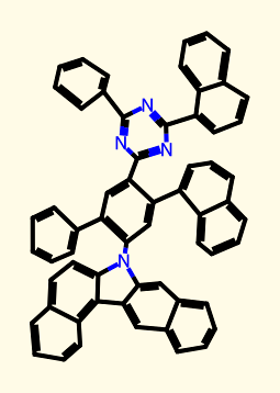 c1ccc(-c2nc(-c3cc(-c4ccccc4)c(-n4c5cc6ccccc6cc5c5c6ccccc6ccc54)cc3-c3cccc4ccccc34)nc(-c3cccc4ccccc34)n2)cc1